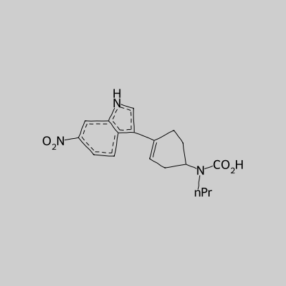 CCCN(C(=O)O)C1CC=C(c2c[nH]c3cc([N+](=O)[O-])ccc23)CC1